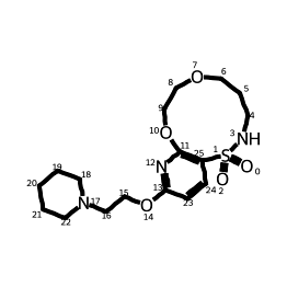 O=S1(=O)NCCCOCCOc2nc(OCCN3CCCCC3)ccc21